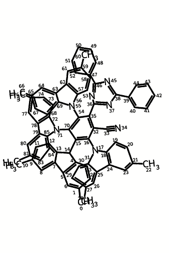 Cc1ccc2c(c1)-c1cc(C)ccc1C2c1c(-n2c3ccc(C)cc3c3cc(C)ccc32)c(C#N)c(-c2nc(-c3ccccc3)nc(-c3ccccc3)n2)c(-n2c3ccc(C)cc3c3cc(C)ccc32)c1-n1c2ccc(C)cc2c2cc(C)ccc21